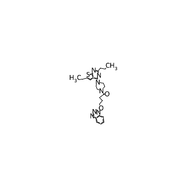 CCCc1nc(N2CCN(C(=O)CCCOn3nnc4ccccc43)CC2)c2cc(CC)sc2n1